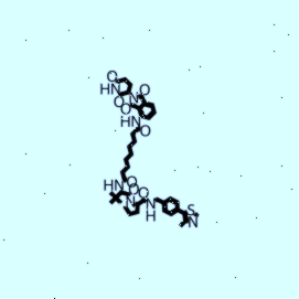 Cc1ncsc1-c1ccc(CNC(=O)C2CCCN2C(=O)[C@@H](NC(=O)CCCCCCCC(=O)Nc2cccc3c2C(=O)N(C2CCC(=O)NC2=O)C3=O)C(C)(C)C)cc1